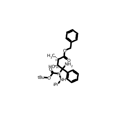 CC(C)NN(C(=O)OC(C)(C)C)C(N)(c1ccccc1)[C@H](O)[C@H](C)C(=O)OCc1ccccc1